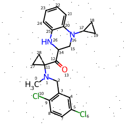 CN(Cc1cc(Cl)ccc1Cl)C1(C(=O)C2CN(C3CC3)c3ccccc3N2)CC1